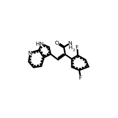 NC(=O)C(=Cc1c[nH]c2ncccc12)c1cc(F)ccc1F